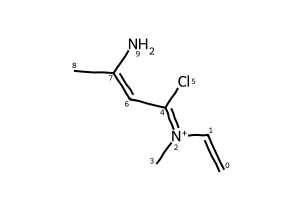 C=C/[N+](C)=C(Cl)/C=C(/C)N